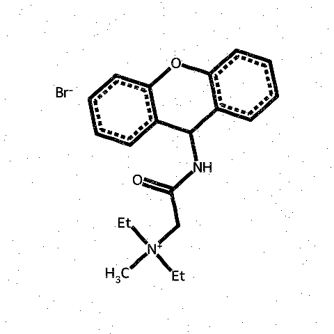 CC[N+](C)(CC)CC(=O)NC1c2ccccc2Oc2ccccc21.[Br-]